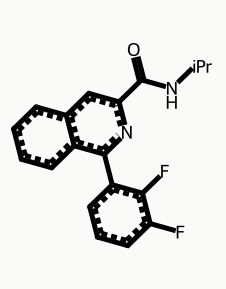 CC(C)NC(=O)c1cc2ccccc2c(-c2cccc(F)c2F)n1